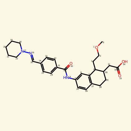 COCCC1c2cc(NC(=O)c3ccc(C=NN4CCCCC4)cc3)ccc2CCC1CC(=O)O